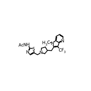 CC(=O)Nc1ncc(CN2CCC(Cc3c(C(F)(F)F)c4ncccc4n3C)C2)s1